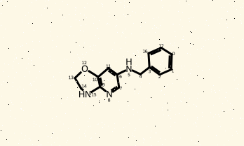 c1ccc(CNc2cnc3c(c2)OCCN3)cc1